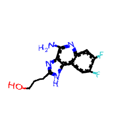 Nc1nc2cc(F)c(F)cc2c2[nH]c(CCCO)nc12